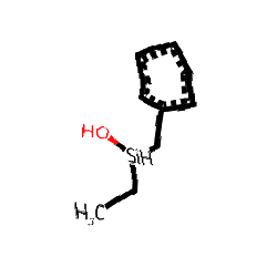 CC[SiH](O)Cc1ccccc1